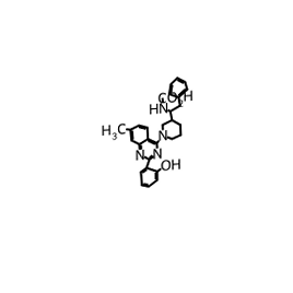 Cc1ccc2c(N3CCCC(C(Cc4ccccc4)NC(=O)O)C3)nc(-c3ccccc3O)nc2c1